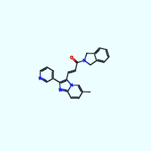 Cc1ccc2nc(-c3cccnc3)c(/C=C/C(=O)N3Cc4ccccc4C3)n2c1